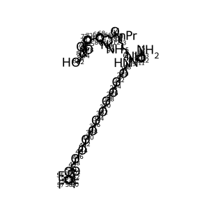 CCCN(CCCCCN/C(=N\c1cccc(N)c1)NCCOCCOCCOCCOCCOCCOCCOCCOCCOCCOCCC(=O)Oc1c(F)c(F)cc(F)c1F)C(=O)C1=Cc2ccc(-c3cccc(S(=O)(=O)N4CC(CO)C4)c3)cc2N=C(N)C1